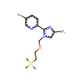 CS(C)(C)CCOCn1cc(C(F)(F)F)nc1-c1ccc(Br)cn1